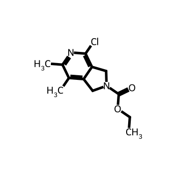 CCOC(=O)N1Cc2c(Cl)nc(C)c(C)c2C1